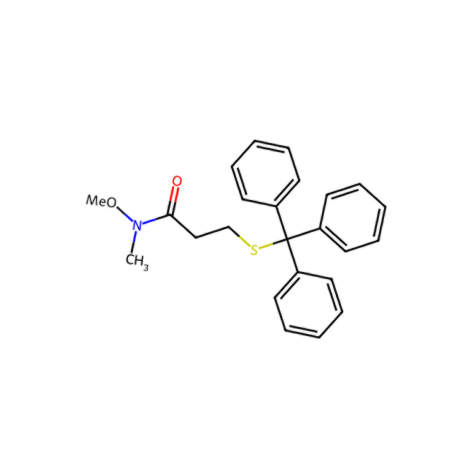 CON(C)C(=O)CCSC(c1ccccc1)(c1ccccc1)c1ccccc1